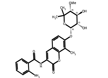 CO[C@@H]1[C@@H](O)[C@H](O)[C@H](Oc2ccc3cc(NC(=O)c4ccccc4N)c(=O)oc3c2C)OC1(C)C